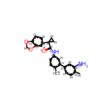 CCc1ccc(NC(=O)C2(c3ccc4c(c3)OCO4)CC2)cc1-c1ccc(C)c(N)c1